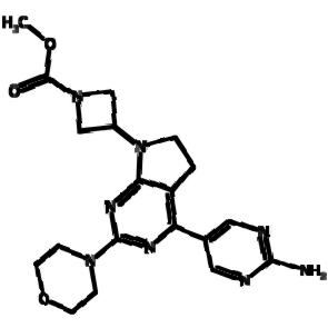 COC(=O)N1CC(N2CCc3c(-c4cnc(N)nc4)nc(N4CCOCC4)nc32)C1